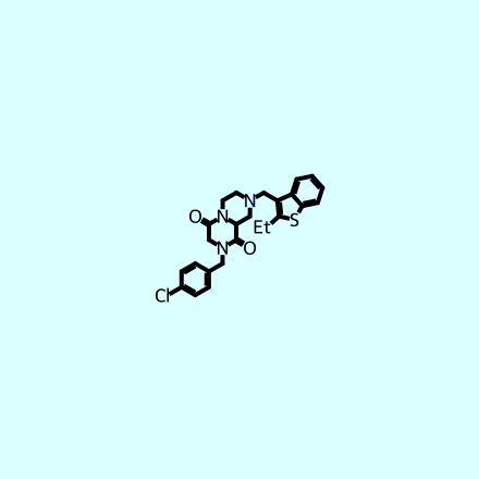 CCc1sc2ccccc2c1CN1CCN2C(=O)CN(Cc3ccc(Cl)cc3)C(=O)C2C1